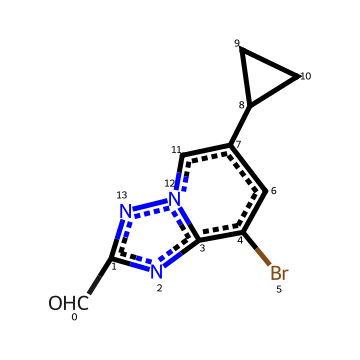 O=Cc1nc2c(Br)cc(C3CC3)cn2n1